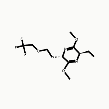 CC[C@H]1N=C(OC)[C@H](CCOCC(F)(F)F)N=C1OC